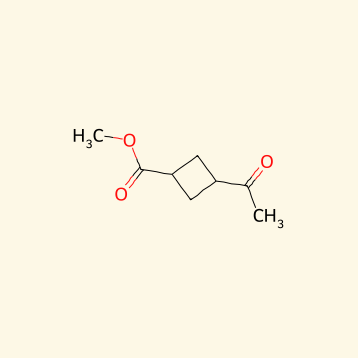 COC(=O)C1CC(C(C)=O)C1